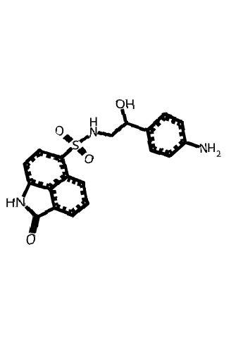 Nc1ccc(C(O)CNS(=O)(=O)c2ccc3c4c(cccc24)C(=O)N3)cc1